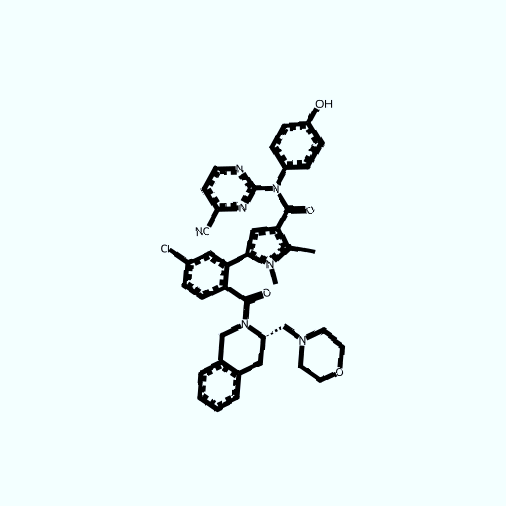 Cc1c(C(=O)N(c2ccc(O)cc2)c2nccc(C#N)n2)cc(-c2cc(Cl)ccc2C(=O)N2Cc3ccccc3C[C@H]2CN2CCOCC2)n1C